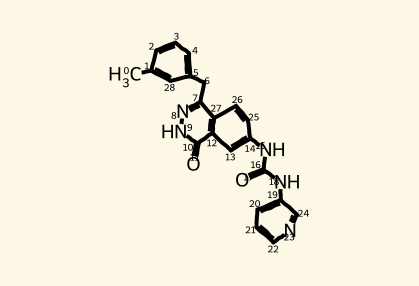 Cc1cccc(Cc2n[nH]c(=O)c3cc(NC(=O)Nc4cccnc4)ccc23)c1